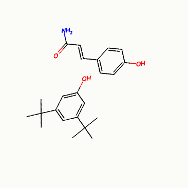 CC(C)(C)c1cc(O)cc(C(C)(C)C)c1.NC(=O)C=Cc1ccc(O)cc1